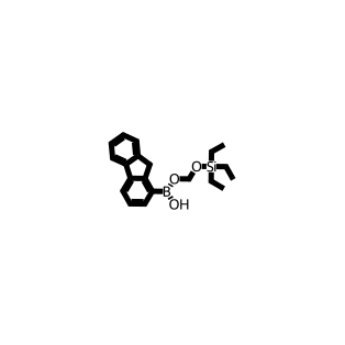 CC[Si](CC)(CC)OCOB(O)c1cccc2c1Cc1ccccc1-2